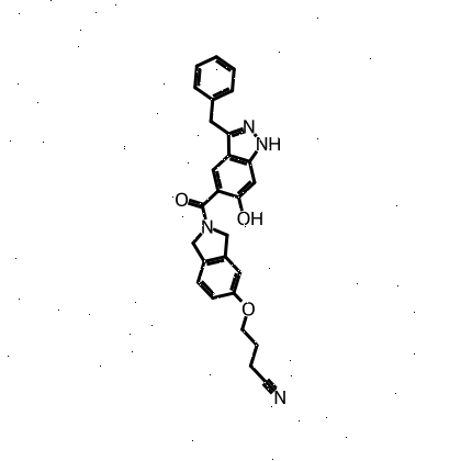 N#CCCCOc1ccc2c(c1)CN(C(=O)c1cc3c(Cc4ccccc4)n[nH]c3cc1O)C2